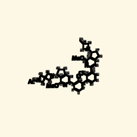 COc1nc(-c2cccc(-c3cccc(-c4cc5c(c(OC)n4)[C@@H](N4CC(C)C4)CC5)c3Cl)c2Cl)cc2c1[C@H](N1CC3(CN(C(C)=O)C3)C1)CC2